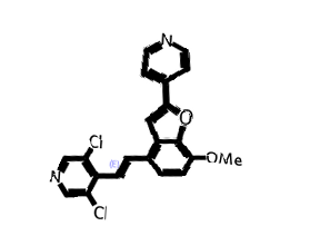 COc1ccc(/C=C/c2c(Cl)cncc2Cl)c2cc(-c3ccncc3)oc12